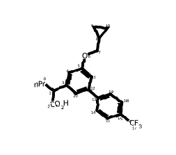 CCCC(C(=O)O)c1cc(OCC2CC2)cc(-c2ccc(C(F)(F)F)cc2)c1